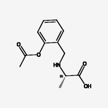 CC(=O)Oc1ccccc1CN[C@@H](C)C(=O)O